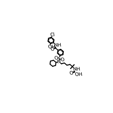 CC(C)(CCCCN(C1CCCCC1)S(=O)(=O)c1cccc(C(=O)Nc2cc(Cl)ccc2O)c1)NC(=O)O